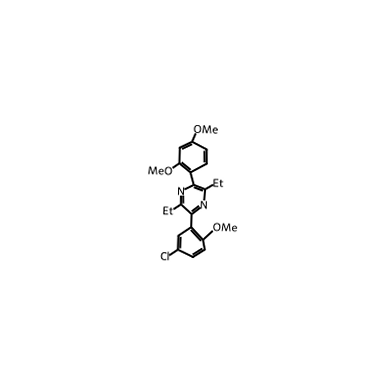 CCc1nc(-c2cc(Cl)ccc2OC)c(CC)nc1-c1ccc(OC)cc1OC